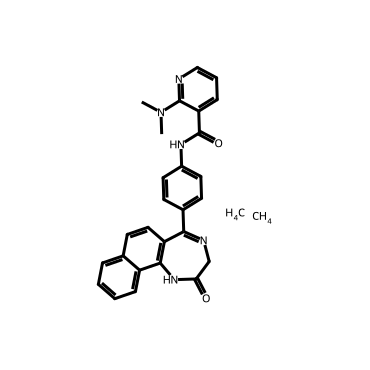 C.C.CN(C)c1ncccc1C(=O)Nc1ccc(C2=NCC(=O)Nc3c2ccc2ccccc32)cc1